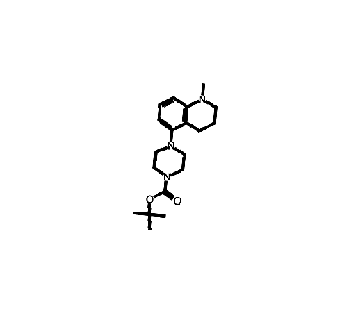 CN1CCCc2c1cccc2N1CCN(C(=O)OC(C)(C)C)CC1